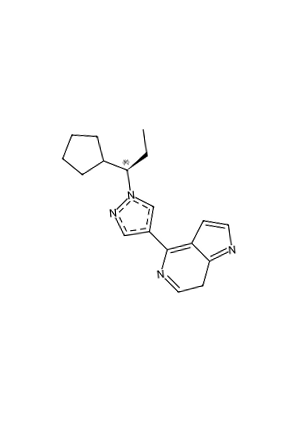 CC[C@H](C1CCCC1)n1cc(C2=C3C=CN=C3CC=N2)cn1